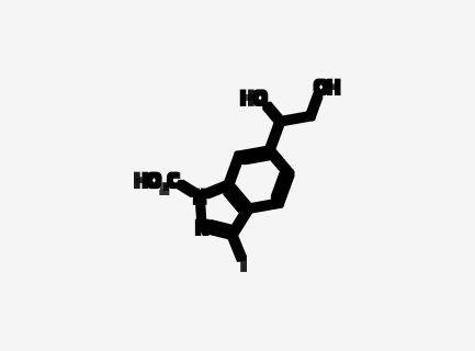 O=C(O)n1nc(I)c2ccc(C(O)CO)cc21